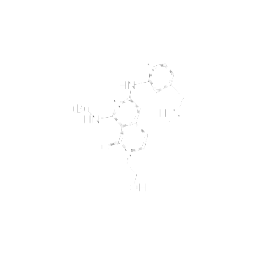 CC(C)(C)Nc1nc(Nc2cc(CN)ccn2)cc2ccn(CCO)c(=O)c12